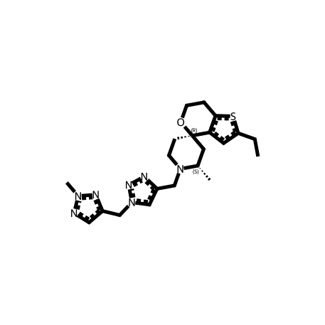 CCc1cc2c(s1)CCO[C@@]21CCN(Cc2cn(Cc3cnn(C)n3)nn2)[C@@H](C)C1